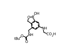 CC(C)(C)OC(=O)NCc1cc(NCC(=O)O)cc2c1COB2O